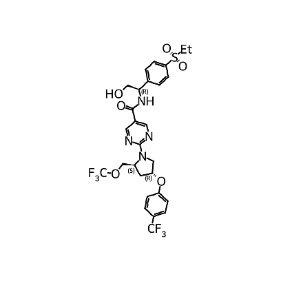 CCS(=O)(=O)c1ccc([C@H](CO)NC(=O)c2cnc(N3C[C@H](Oc4ccc(C(F)(F)F)cc4)C[C@H]3COC(F)(F)F)nc2)cc1